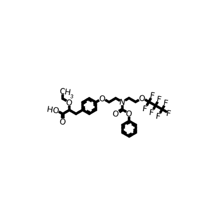 CCOC(Cc1ccc(OCCN(CCOC(F)(F)C(F)(F)C(F)(F)F)C(=O)Oc2ccccc2)cc1)C(=O)O